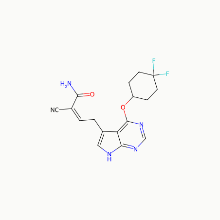 N#CC(=CCc1c[nH]c2ncnc(OC3CCC(F)(F)CC3)c12)C(N)=O